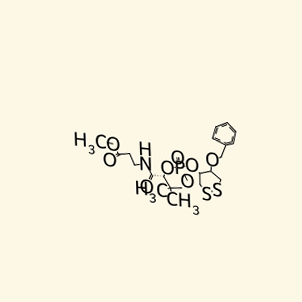 COC(=O)CCNC(=O)[C@@H]1OP(=O)(OC2CSSCC2OCc2ccccc2)OCC1(C)C